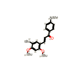 CNc1ccc(C(=O)C=Cc2cc(C(C)(C)C)c(OC(C)(C)C)cc2OC(C)(C)C)cc1